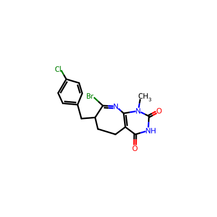 Cn1c2c(c(=O)[nH]c1=O)CCC(Cc1ccc(Cl)cc1)C(Br)=N2